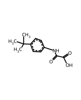 CC(C)(C)c1ccc(NC(=O)C(=O)O)cc1